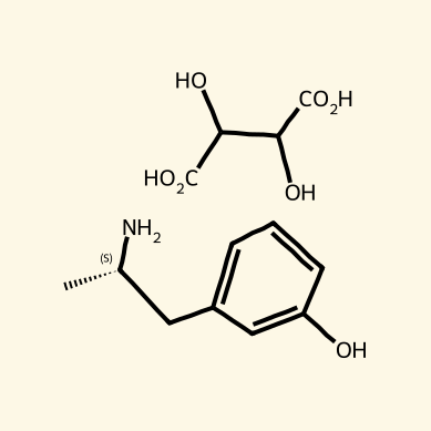 C[C@H](N)Cc1cccc(O)c1.O=C(O)C(O)C(O)C(=O)O